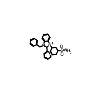 C[N+]1(C2CCCC(S(N)(=O)=O)C2)c2ccccc2N(Cc2ccccc2)C1c1ccccn1